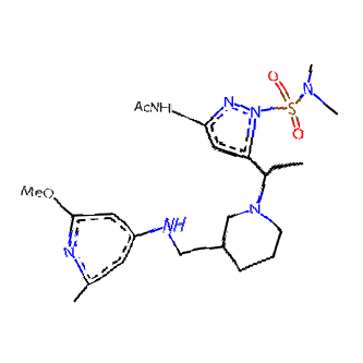 COc1cc(NCC2CCCN(C(C)c3cc(NC(C)=O)nn3S(=O)(=O)N(C)C)C2)cc(C)n1